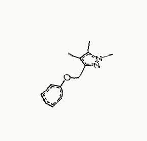 Cc1c(COc2ccccc2)nn(C)c1C